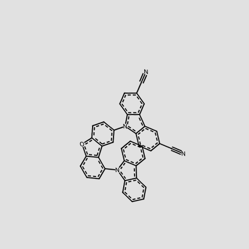 N#Cc1ccc2c(c1)c1cc(C#N)ccc1n2-c1ccc2oc3cccc(-n4c5ccccc5c5ccccc54)c3c2c1